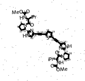 COC(=O)NC(C(=O)N1CCC[C@H]1c1nc(C#Cc2ccc(C#Cc3c[nH]c([C@@H]4CCCN4C(=O)[C@@H](NC(=O)OC)C(C)C)n3)s2)c[nH]1)C(C)C